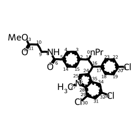 CCCC(c1ccc(C(=O)NCCC(=O)OC)cc1)C(c1ccc(Cl)cc1)c1cn(C)c2c(Cl)cc(Cl)cc12